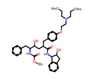 COCCN(CCOC)CCOc1ccc(CC(CC(O)C(Cc2ccccc2)NC(=O)OC(C)(C)C)C(=O)NC2c3ccccc3CC2O)cc1